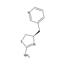 NC1=N[C@H](Cc2cccnc2)CS1